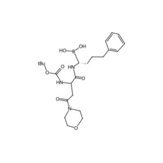 CC(C)(C)OC(=O)NC(CC(=O)N1CCOCC1)C(=O)N[C@@H](CCCc1ccccc1)B(O)O